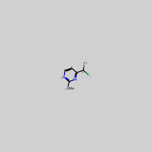 CSc1n[c]cc(C(F)F)n1